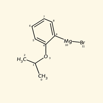 CC(C)Oc1cccc[c]1[Mg][Br]